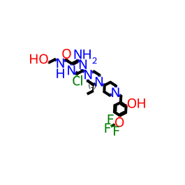 CC[C@H]1CN(c2nc(N)c(C(=O)NCCO)nc2Cl)CCN1C1CCN(Cc2ccc(OC(F)(F)F)cc2O)CC1